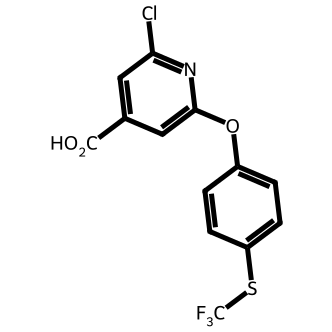 O=C(O)c1cc(Cl)nc(Oc2ccc(SC(F)(F)F)cc2)c1